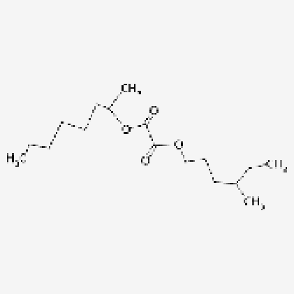 CCCCCCC(C)OC(=O)C(=O)OCCCC(C)CC